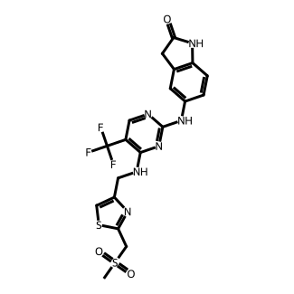 CS(=O)(=O)Cc1nc(CNc2nc(Nc3ccc4c(c3)CC(=O)N4)ncc2C(F)(F)F)cs1